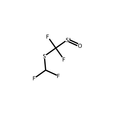 O=[S+]C(F)(F)SC(F)F